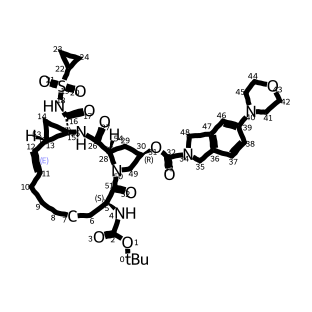 CC(C)(C)OC(=O)N[C@H]1CCCCC/C=C/[C@@H]2C[C@@]2(C(=O)NS(=O)(=O)C2CC2)NC(=O)[C@@H]2C[C@@H](OC(=O)N3Cc4ccc(N5CCOCC5)cc4C3)CN2C1=O